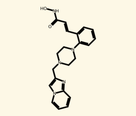 O=C(/C=C/c1ccccc1N1CCN(Cc2cn3ccccc3n2)CC1)NO